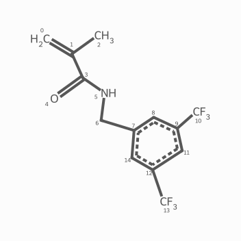 C=C(C)C(=O)NCc1cc(C(F)(F)F)cc(C(F)(F)F)c1